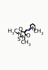 CCN1C(=O)C(=C/C=C2\CCCN2C)C(=O)N(CC)C1=S